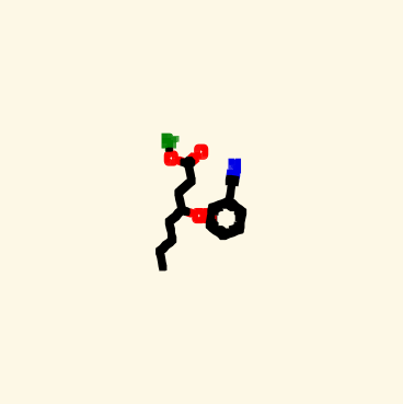 CCCCC(O)CCC(=O)OBr.N#Cc1ccccc1